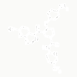 CC(C)c1ccc2c(Nc3cc(C(=O)Nc4ccc(C(F)(F)F)cn4)ccc3Sc3ccc(N)cc3)ncnc2n1